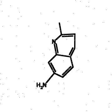 Cc1ccc2ccc(N)cc2n1